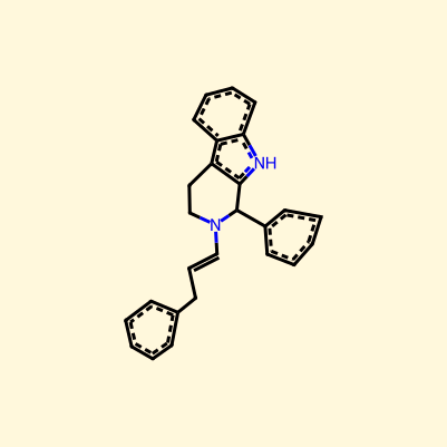 C(=CN1CCc2c([nH]c3ccccc23)C1c1ccccc1)Cc1ccccc1